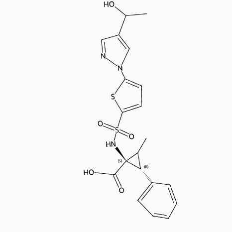 CC(O)c1cnn(-c2ccc(S(=O)(=O)N[C@@]3(C(=O)O)C(C)[C@@H]3c3ccccc3)s2)c1